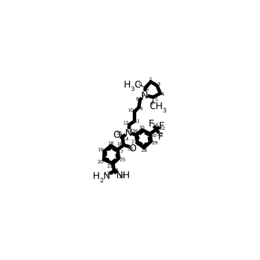 C[C@@H]1CCC[C@H](C)N1CCCCCN1C(=O)C(c2cccc(C(=N)N)c2)Oc2ccc(C(F)(F)F)cc21